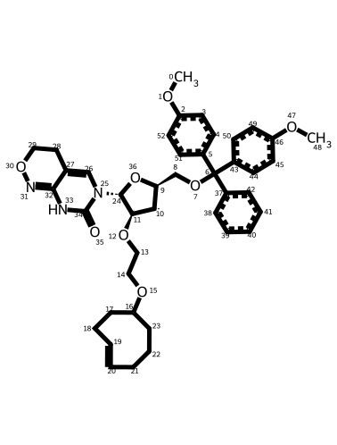 COc1ccc(C(OC[C@H]2[CH][C@@H](OCCOC3CC/C=C/CCC3)[C@H](N3C=C4CCON=C4NC3=O)O2)(c2ccccc2)c2ccc(OC)cc2)cc1